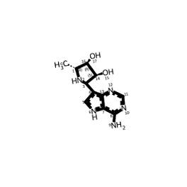 C[C@H]1NC(c2c[nH]c3c(N)ncnc23)[C@H](O)[C@@H]1O